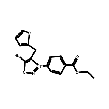 CCOC(=O)c1ccc(-[n+]2noc([NH-])c2Cc2ccco2)cc1